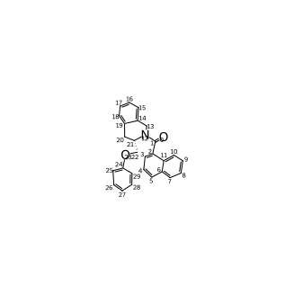 O=C(c1cccc2ccccc12)N1Cc2ccccc2C[C@H]1COc1ccccc1